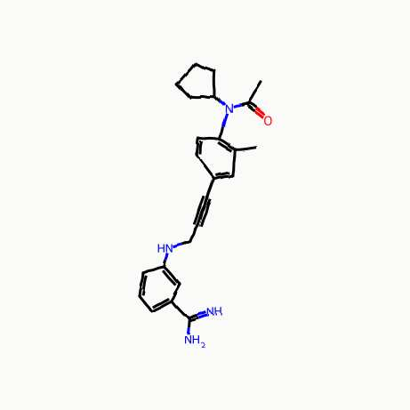 CC(=O)N(c1ccc(C#CCNc2cccc(C(=N)N)c2)cc1C)C1CCCC1